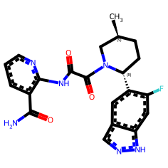 C[C@H]1CC[C@H](c2cc3cn[nH]c3cc2F)N(C(=O)C(=O)Nc2ncccc2C(N)=O)C1